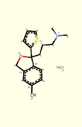 CN(C)CCCC1(c2cccs2)OCc2cc(C#N)ccc21.Cl